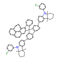 CC12CCCCC1(C)N(c1cccc(F)c1)c1ccc(-c3ccc4c(c3)C3(c5cc(-c6ccc7c(c6)C6(C)CCCCC6(C)N7c6cccc(F)c6)ccc5-4)c4ccccc4-c4c3cc3ccc5cccc6ccc4c3c56)cc12